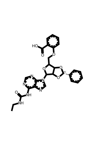 CCNC(=O)Nc1ncnc2c1ncn2C1OC(COc2ccccc2C(=O)O)C2O[C@H](c3ccccc3)OC21